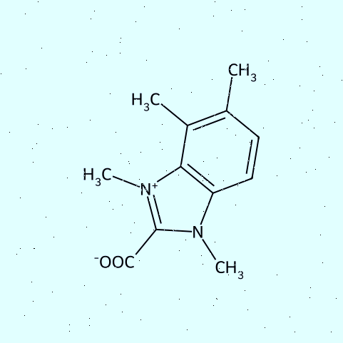 Cc1ccc2c(c1C)[n+](C)c(C(=O)[O-])n2C